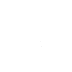 C=C(C)C(=O)OC(CC)(CCCCC)CCCCCCCC